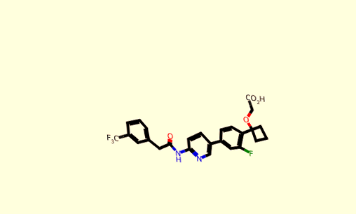 O=C(O)COC1(c2ccc(-c3ccc(NC(=O)Cc4cccc(C(F)(F)F)c4)nc3)cc2F)CCC1